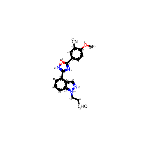 CC(C)Oc1ccc(-c2nc(-c3cccc4c3cnn4CCC=O)no2)cc1C#N